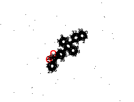 c1ccc2cc(-c3c4ccccc4c(-c4ccc5c(c4)oc4oc6ccccc6c45)c4ccccc34)ccc2c1